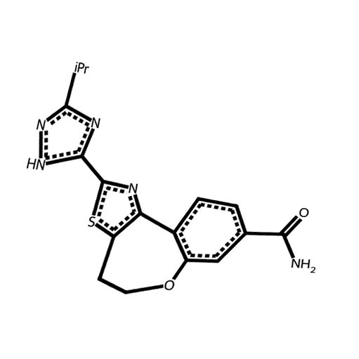 CC(C)c1n[nH]c(-c2nc3c(s2)CCOc2cc(C(N)=O)ccc2-3)n1